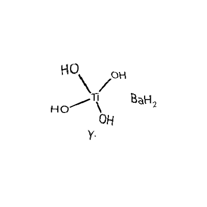 [BaH2].[OH][Ti]([OH])([OH])[OH].[Y]